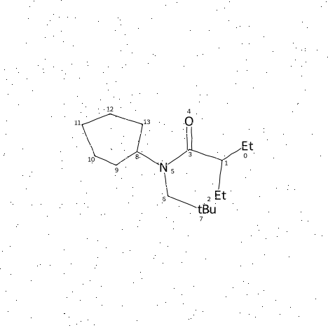 CCC(CC)C(=O)N(CC(C)(C)C)C1CCCCC1